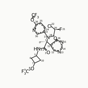 C[C@@](C(=O)NC1CC(OC(F)(F)F)C1)(c1cncnc1)N(C(=O)[C@H](F)Cl)c1ccc(OC(F)(F)F)nc1